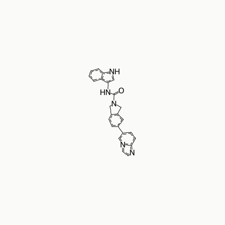 O=C(Nc1c[nH]c2ccccc12)N1Cc2ccc(-c3ccc4nccn4c3)cc2C1